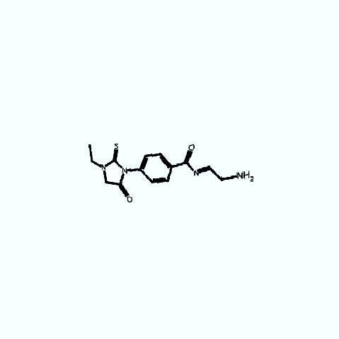 CCN1CC(=O)N(c2ccc(C(=O)N=CCN)cc2)C1=S